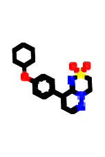 O=S1(=O)CCN2N=CC=C(c3ccc(OC4CCCCC4)cc3)C2=N1